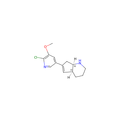 COc1cc(C2=C[C@@H]3CCCN[C@@H]3C2)cnc1Cl